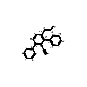 C#Cc1c(-c2ccccc2)ccc(CCC)c1-c1ccccc1